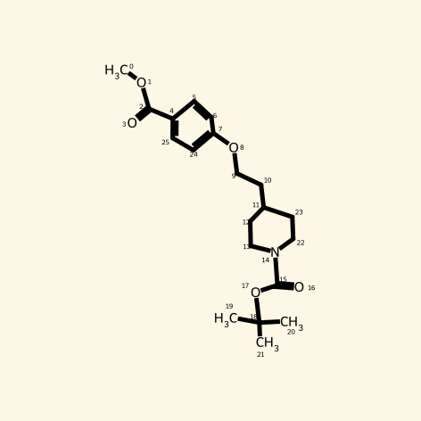 COC(=O)c1ccc(OCCC2CCN(C(=O)OC(C)(C)C)CC2)cc1